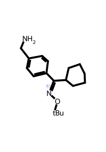 CC(C)(C)O/N=C(/c1ccc(CN)cc1)C1CCCCC1